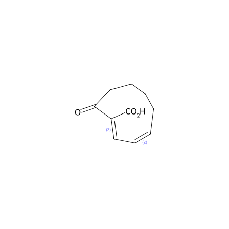 O=C(O)/C1=C\C=C/CCCCC1=O